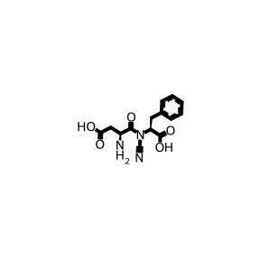 N#CN(C(=O)[C@@H](N)CC(=O)O)[C@@H](Cc1ccccc1)C(=O)O